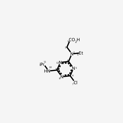 CCN(CC(=O)O)c1nc(Cl)nc(NC(C)C)n1